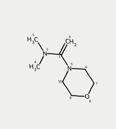 C=C(N(C)C)N1CCOCC1